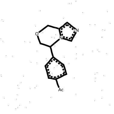 CC(=O)c1ccc(C2COCc3cncn32)cc1